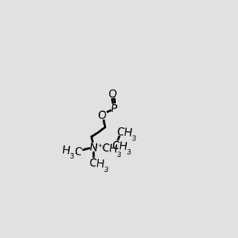 CC.C[N+](C)(C)CCOP=O